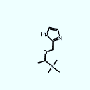 CC(OCc1ncc[nH]1)[Si](C)(C)C